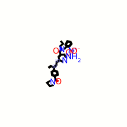 C=C/C(=C\C=C1\C=C(C(=O)N(CCC)Cc2ccccc2[N+](=O)[O-])CC(N)=NC1)c1ccc(C(=O)N2CCCC2)cc1